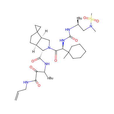 C=CCNC(=O)C(=O)C(CCCC)NC(=O)[C@@H]1[C@H]2CCC3(CC3)[C@H]2CN1C(=O)[C@@H](NC(=O)N[C@H](CN(C)S(C)(=O)=O)C(C)(C)C)C1(C)CCCCC1